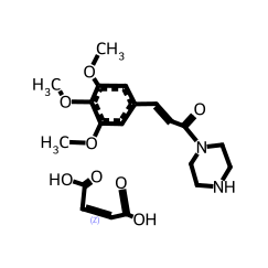 COc1cc(C=CC(=O)N2CCNCC2)cc(OC)c1OC.O=C(O)/C=C\C(=O)O